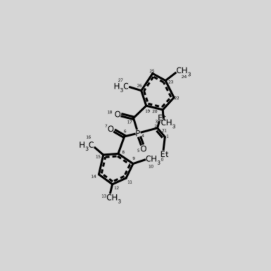 CC/C=C(/CC)P(=O)(C(=O)c1c(C)cc(C)cc1C)C(=O)c1c(C)cc(C)cc1C